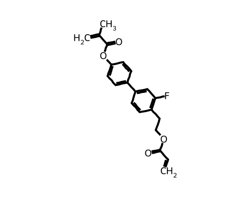 C=CC(=O)OCCc1ccc(-c2ccc(OC(=O)C(=C)C)cc2)cc1F